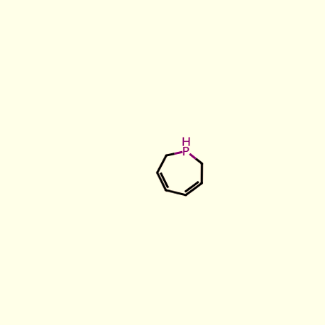 C1=CCPCC=C1